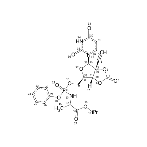 C#C[C@@]12OC(=O)O[C@@H]1[C@@H](COP(=O)(NC(C)C(=O)OC(C)C)Oc1ccccc1)O[C@H]2n1ccc(=O)[nH]c1=O